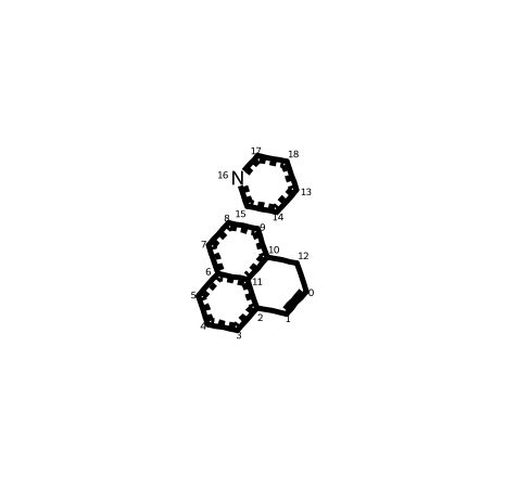 C1=Cc2cccc3cccc(c23)C1.c1ccncc1